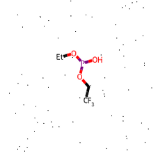 CCOP(O)OCC(F)(F)F